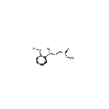 CC(C)OC(=O)CC[PH](=O)c1ccccc1OC(C)C